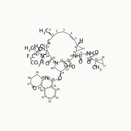 C[C@H]1CCC=C[C@@H]2C[C@@]2(C(=O)NS(=O)(=O)C2(C)CC2)NC(=O)[C@@H]2C[C@@H](Oc3nc4c(c5ccccc35)OCCC4)CN2C(=O)[C@@H](N(C(=O)O)C(C)(C)C(F)(F)F)[C@H](C)C1